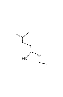 [CH2]COC(O)CCC(C)C